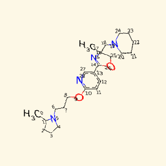 CC1CCCN1CCCOc1ccc(C2=NC(C)(CN3CCCCC3)CO2)cn1